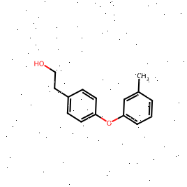 Cc1cccc(Oc2ccc(CCO)cc2)c1